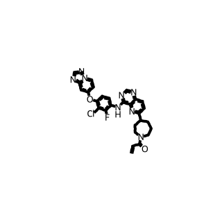 C=CC(=O)N1CCCC(c2ccc3ncnc(Nc4ccc(Oc5ccn6ncnc6c5)c(Cl)c4F)c3n2)CC1